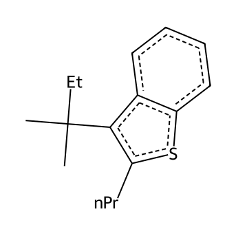 CCCc1sc2ccccc2c1C(C)(C)CC